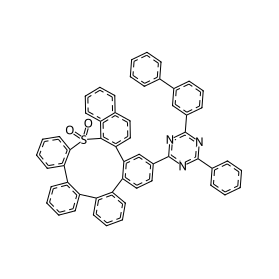 O=S1(=O)c2ccccc2-c2ccccc2-c2ccccc2-c2ccc(-c3nc(-c4ccccc4)nc(-c4cccc(-c5ccccc5)c4)n3)cc2-c2ccc3ccccc3c21